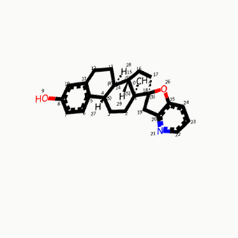 C[C@]12CC[C@@H]3c4ccc(O)cc4CC[C@H]3[C@@H]1CC[C@]21Cc2ncccc2O1